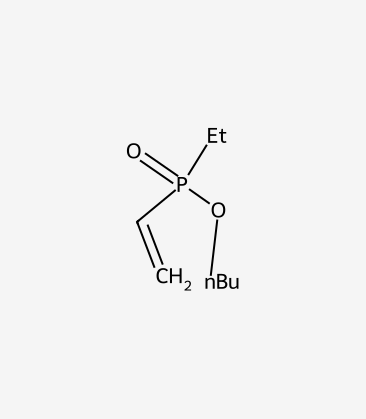 C=CP(=O)(CC)OCCCC